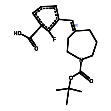 CC(C)(C)OC(=O)N1CCC/C(=C/c2cccc(C(=O)O)c2F)CC1